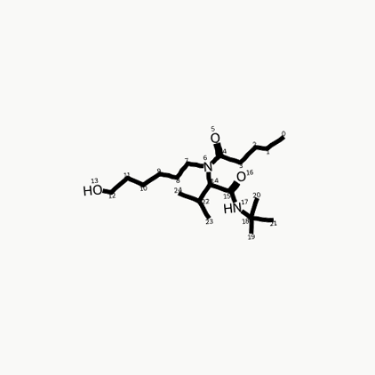 CCCCC(=O)N(CCCCCCO)C(C(=O)NC(C)(C)C)C(C)C